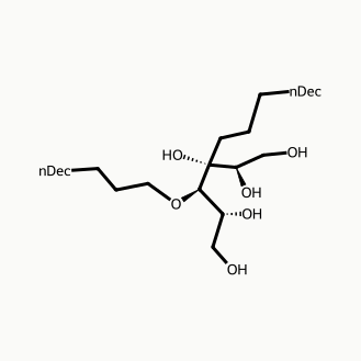 CCCCCCCCCCCCCO[C@H]([C@H](O)CO)[C@@](O)(CCCCCCCCCCCCC)[C@H](O)CO